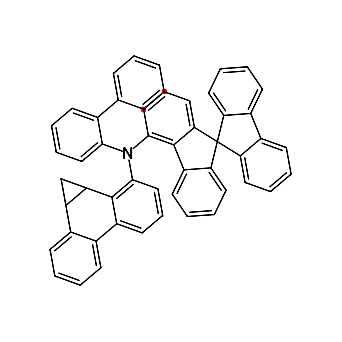 c1ccc(-c2ccccc2N(c2cccc3c2-c2ccccc2C32c3ccccc3-c3ccccc32)c2cccc3c2C2CC2c2ccccc2-3)cc1